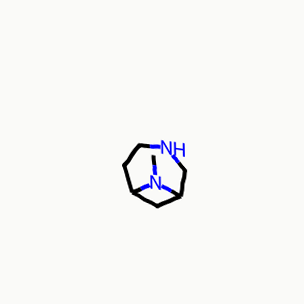 CN1C2CCNCC1C2